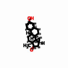 C[C@]12CC[C@@H]3c4ccc(O)cc4CC[C@H]3[C@@]13C[C@H]3CC2=O